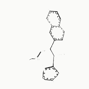 O=C(O)NC[C@H](c1ccc2ccccc2c1)[C@H](O)c1cccs1